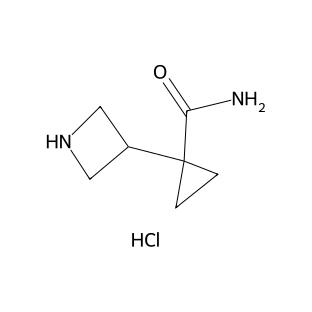 Cl.NC(=O)C1(C2CNC2)CC1